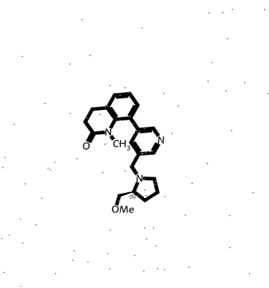 COC[C@@H]1CCCN1Cc1cncc(-c2cccc3c2N(C)C(=O)CC3)c1